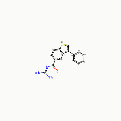 NC(N)=NC(=O)c1ccc2scc(-c3ccccc3)c2c1